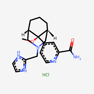 CO[C@]1(c2ccnc(C(N)=O)c2)[C@@H]2CCC[C@H]1CN(Cc1ncc[nH]1)C2.Cl